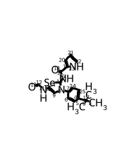 CC(C)(C)c1ccc(N2C=C(NC=O)[Se]C2NC(=O)c2ccc[nH]2)cc1